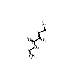 CCOC(=O)C(=O)CCBr